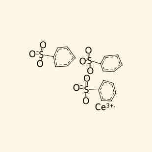 O=S(=O)([O-])c1ccccc1.O=S(=O)([O-])c1ccccc1.O=S(=O)([O-])c1ccccc1.[Ce+3]